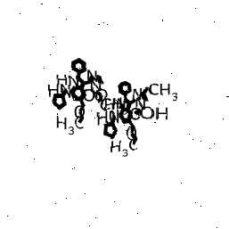 CCOCc1cc(NC2CCCC2)c2[nH]c(-c3ccccc3)c(-c3nc(CC)cn3C(=O)O)c2c1.CCOCc1cc(NC2CCCC2)c2[nH]c(-c3ccccc3)c(-c3nccn3C(=O)OCC)c2c1